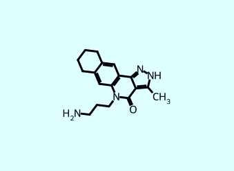 Cc1[nH]nc2c1c(=O)n(CCCN)c1cc3c(cc21)CCCC3